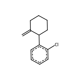 C=C1CCCCC1c1ccccc1Cl